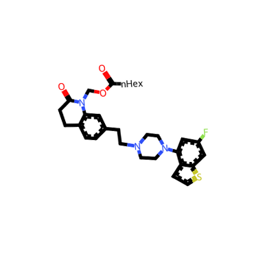 CCCCCCC(=O)OCN1C(=O)CCc2ccc(CCN3CCN(c4cc(F)cc5sccc45)CC3)cc21